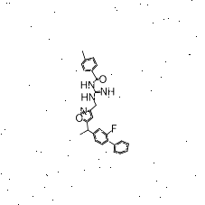 Cc1ccc(C(=O)NC(=N)NCc2cc(C(C)c3ccc(-c4ccccc4)c(F)c3)on2)cc1